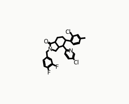 Cc1ccc(C2CCC3C(=O)N(Cc4ccc(F)c(F)c4)CC3C2c2ccc(Cl)cn2)c(Cl)c1